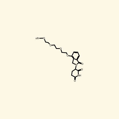 CCCOCCOCCOCCOc1cccc2c1CN(C1CCC(=O)NC1=O)C2=O